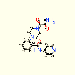 NC(=O)C(=O)N1CCN(c2ccccc2C(=O)Nc2ccncc2)CC1